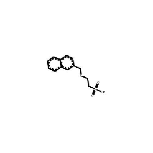 O=S(=O)(O)CCSCc1ccc2ccccc2c1